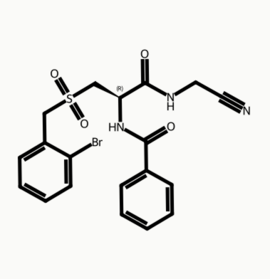 N#CCNC(=O)[C@H](CS(=O)(=O)Cc1ccccc1Br)NC(=O)c1ccccc1